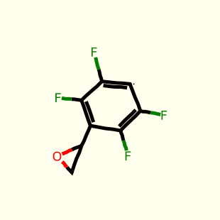 Fc1[c]c(F)c(F)c(C2CO2)c1F